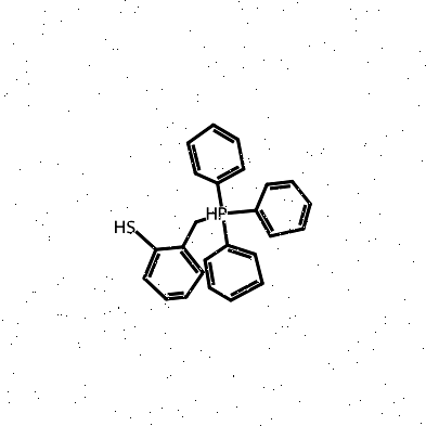 Sc1ccccc1C[PH](c1ccccc1)(c1ccccc1)c1ccccc1